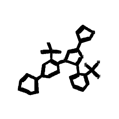 CS(=O)(=O)c1cc(-c2ccccc2)ccc1-n1cc(-c2ccoc2)nc1-c1ccccc1C(F)(F)F